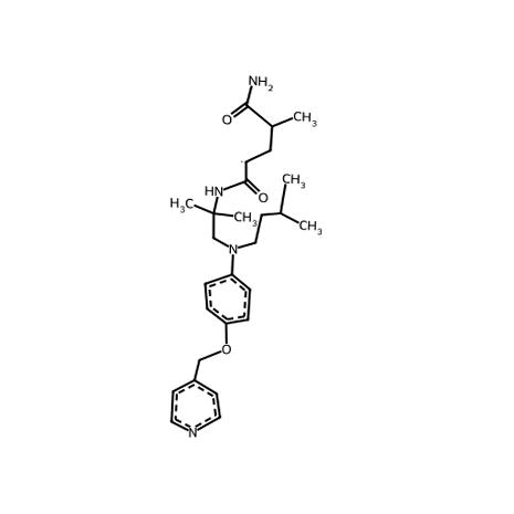 CC(C)CCN(CC(C)(C)NC(=O)[CH]CC(C)C(N)=O)c1ccc(OCc2ccncc2)cc1